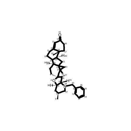 C[C@H]1C[C@H]2O[C@]3(CC[C@H]4C5CCC6=CC(=O)CC[C@]6(C)[C@H]5CC45CC53C)[C@H](C)[C@@H]2N(Cc2ccccc2)C1